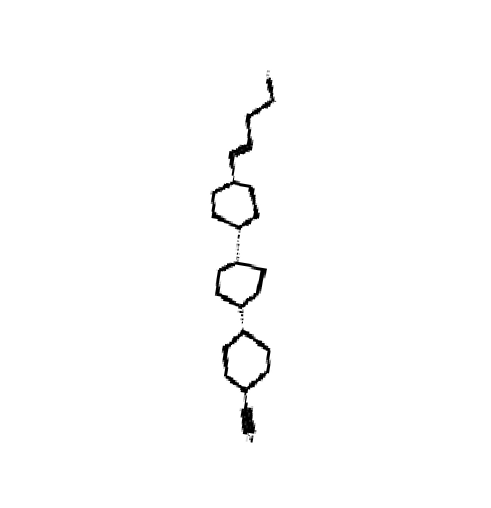 N#C[C@H]1CC[C@H](C2CCC([C@H]3CC[C@H](/C=C/CCF)CC3)CC2)CC1